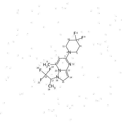 CC1=CC(N2CCC(F)(F)CC2)=NC2=CCN(C(C)C(F)(F)F)N12